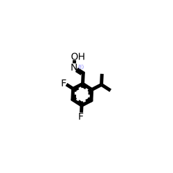 CC(C)c1cc(F)cc(F)c1/C=N/O